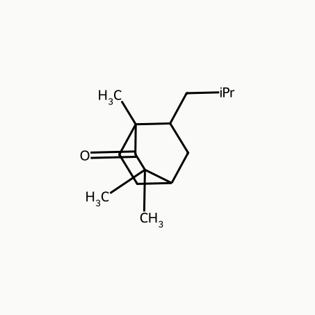 CC(C)CC1CC2CCC1(C)C(=O)C2(C)C